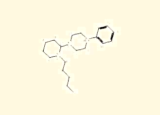 CCCCCN1CCCCC1N1CCN(c2ccccc2)CC1